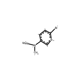 CNN(C)c1ccc(Br)nc1